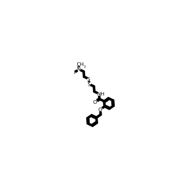 CN(I)CCSSCCNC(=O)c1ccccc1OCc1ccccc1